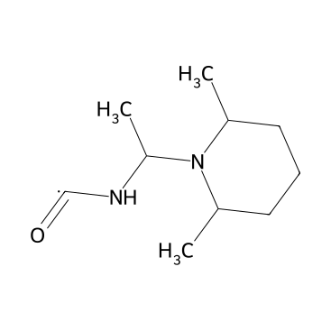 CC1CCCC(C)N1C(C)N[C]=O